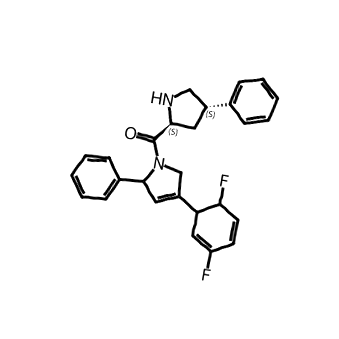 O=C([C@@H]1C[C@@H](c2ccccc2)CN1)N1CC(C2C=C(F)C=CC2F)=CC1c1ccccc1